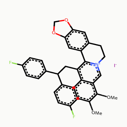 COc1ccc2c(CC(c3ccc(F)cc3)c3ccc(F)cc3)c3[n+](cc2c1OC)CCc1cc2c(cc1-3)OCO2.[I-]